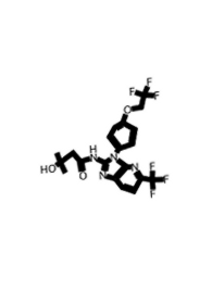 CC(C)(O)CC(=O)Nc1nc2ccc(C(F)(F)F)nc2n1-c1ccc(OCC(F)(F)F)cc1